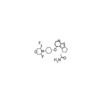 NC(=O)C[C@H]1CCc2sc3nccc(O[C@H]4CC[C@H](N5[C@H](CF)COC[C@@H]5F)CC4)c3c21